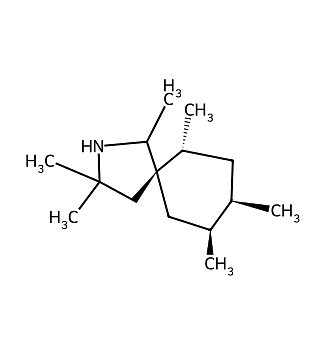 CC1NC(C)(C)C[C@@]12C[C@H](C)[C@H](C)C[C@H]2C